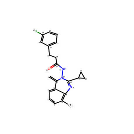 C=C1c2cccc(C(F)(F)F)c2N=C(C2CC2)N1NC(=O)CCc1cccc(F)c1